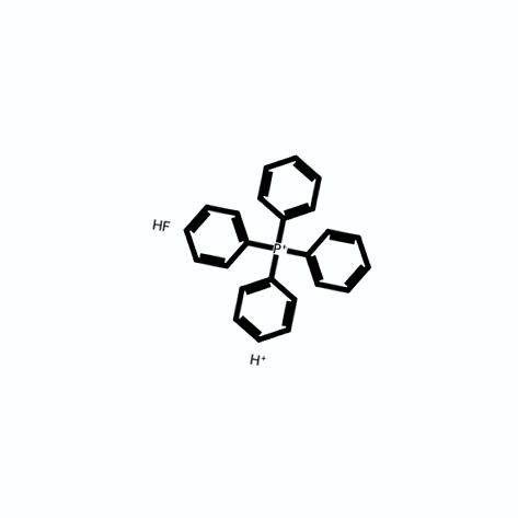 F.[H+].c1ccc([P+](c2ccccc2)(c2ccccc2)c2ccccc2)cc1